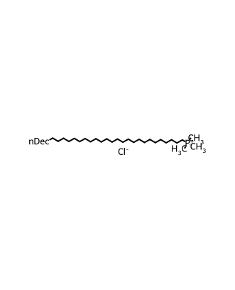 CCCCCCCCCCCCCCCCCCCCCCCCCCCCCCCCCCC[P+](C)(C)C.[Cl-]